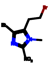 CCc1nc([N+](=O)[O-])n(C)c1CCBr